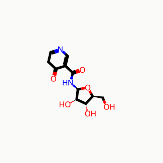 O=C1CC=NC=C1C(=O)N[C@H]1O[C@@H](CO)[C@H](O)[C@@H]1O